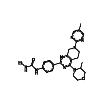 CCNC(=O)Nc1ccc(-c2nc3c(c(N4CCOCC4C)n2)CCN(c2ncc(C)cn2)C3)cc1